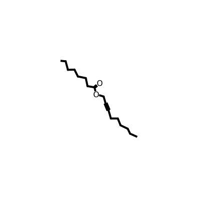 CCCCCCC#CCOC(=O)CCCCCCC